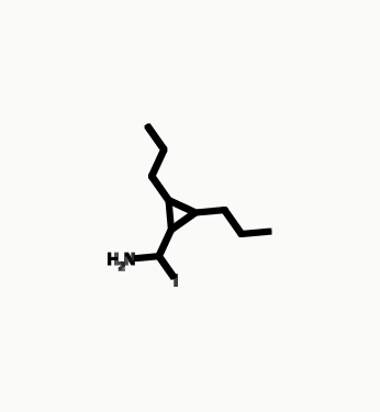 CCCC1C(CCC)C1C(N)I